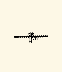 CCCCCCCCCCCCCCCC(=O)NC(C(=O)OC)C(O)CCCCCCCCCCCCCCC